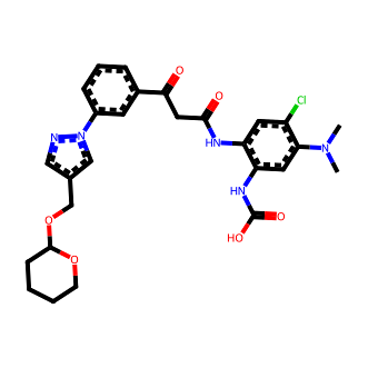 CN(C)c1cc(NC(=O)O)c(NC(=O)CC(=O)c2cccc(-n3cc(COC4CCCCO4)cn3)c2)cc1Cl